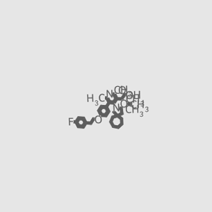 Cc1nc(C)c(C(OC(C)(C)C)C(=O)O)c(N2CCC3(CCCCCC3)C2)c1-c1ccc(OCCc2ccc(F)cc2)cc1